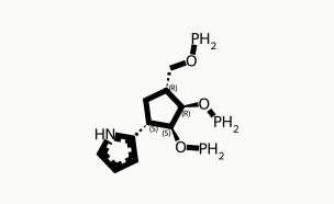 POC[C@H]1C[C@@H](c2ccc[nH]2)[C@H](OP)[C@@H]1OP